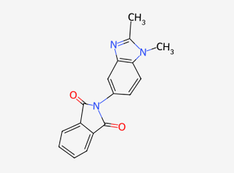 Cc1nc2cc(N3C(=O)c4ccccc4C3=O)ccc2n1C